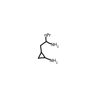 CCCC(N)CC1CC1N